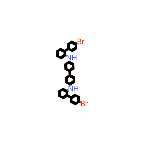 Brc1ccc(-c2ccccc2Nc2ccc(-c3ccc(Nc4ccccc4-c4ccc(Br)cc4)cc3)cc2)cc1